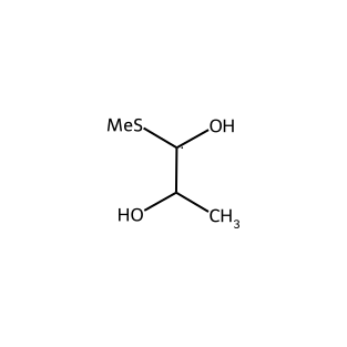 CS[C](O)C(C)O